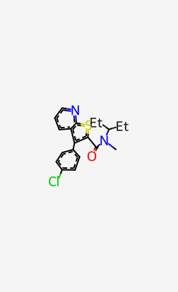 CCC(CC)N(C)C(=O)c1sc2ncccc2c1-c1ccc(Cl)cc1